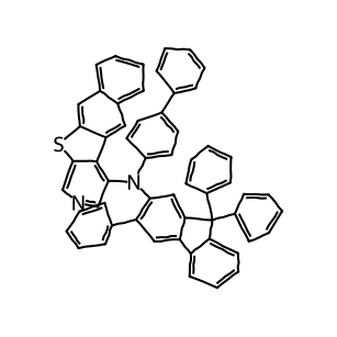 c1ccc(-c2ccc(N(c3cc4c(cc3-c3ccccc3)-c3ccccc3C4(c3ccccc3)c3ccccc3)c3cncc4sc5cc6ccccc6cc5c34)cc2)cc1